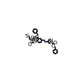 C[Si](C)(C)CCN1C(=O)CN(c2ccc(/C=C/c3cnn(C(=O)OCc4ccccc4)c3)cc2OCc2ccccc2)S1(=O)=O